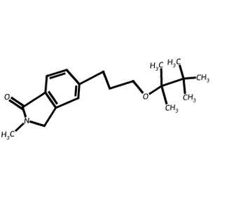 CN1Cc2cc(CCCOC(C)(C)C(C)(C)C)ccc2C1=O